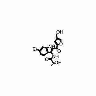 C[C@H](O)C(=O)Nc1c(C(=O)c2cc(CO)co2)[nH]c2cc(Cl)ccc12